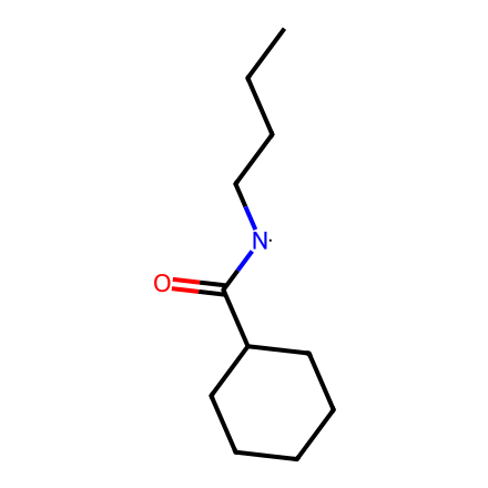 CCCC[N]C(=O)C1CCCCC1